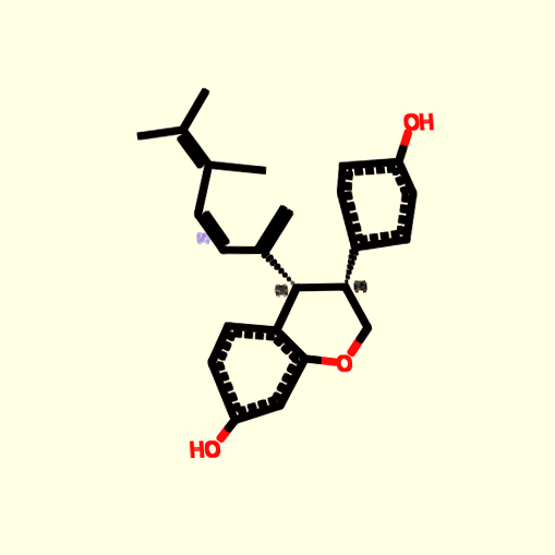 C=C(/C=C\C(C)=C(C)C)[C@H]1c2ccc(O)cc2OC[C@H]1c1ccc(O)cc1